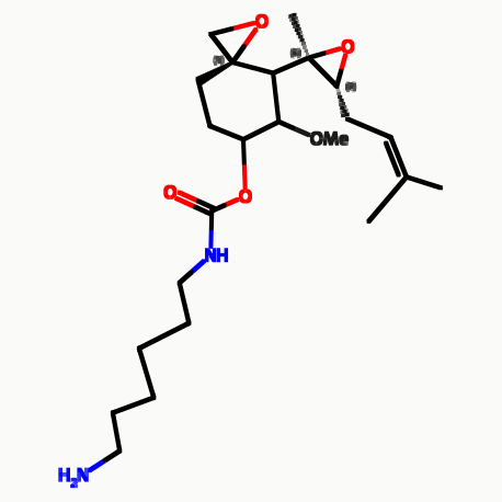 COC1C(OC(=O)NCCCCCCN)CC[C@]2(CO2)C1[C@@]1(C)O[C@@H]1CC=C(C)C